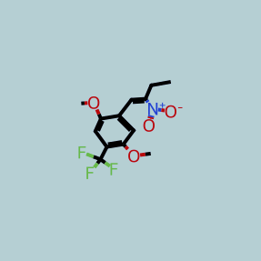 CCC(=Cc1cc(OC)c(C(F)(F)F)cc1OC)[N+](=O)[O-]